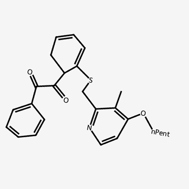 CCCCCOc1ccnc(CSC2=CC=CCC2C(=O)C(=O)c2ccccc2)c1C